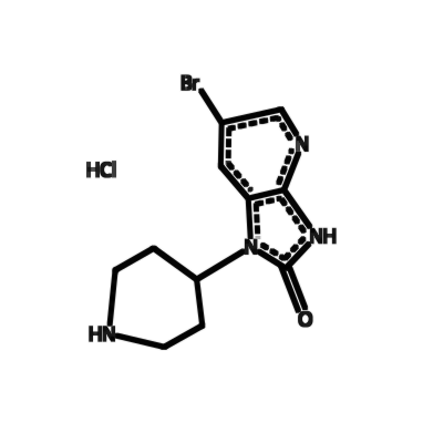 Cl.O=c1[nH]c2ncc(Br)cc2n1C1CCNCC1